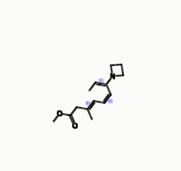 C\C=C(/C=C\C=C(/C)CC(=O)OC)N1CCC1